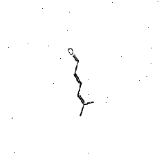 CC(C)=CC=CC=O